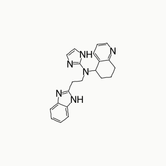 c1cnc2c(c1)C(N(CCc1nc3ccccc3[nH]1)c1ncc[nH]1)CCC2